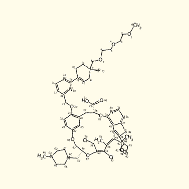 COCCOCCOC[C@]1(F)CC=C(c2nccc(COc3ccc4cc3C[C@H](C(=O)O)Oc3ncnc5sc(C6CCC6)c(c35)/C(C(C)C)=C(C)/C(Cl)=C(\CCl)O[C@H](CN3CCN(C)CC3)CO4)n2)CC1